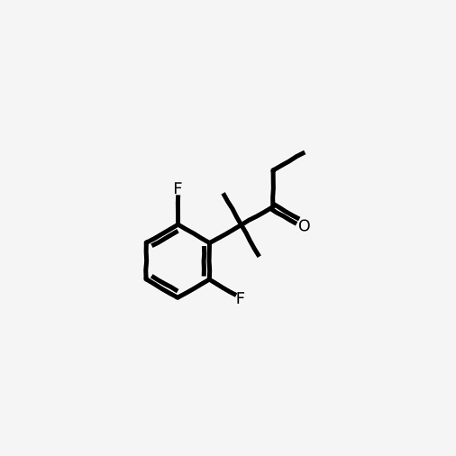 CCC(=O)C(C)(C)c1c(F)cccc1F